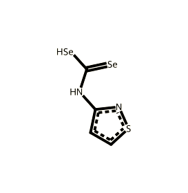 [Se]=C([SeH])Nc1ccsn1